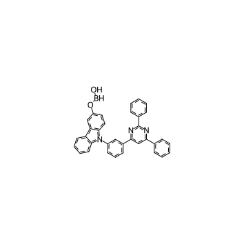 OBOc1ccc2c(c1)c1ccccc1n2-c1cccc(-c2cc(-c3ccccc3)nc(-c3ccccc3)n2)c1